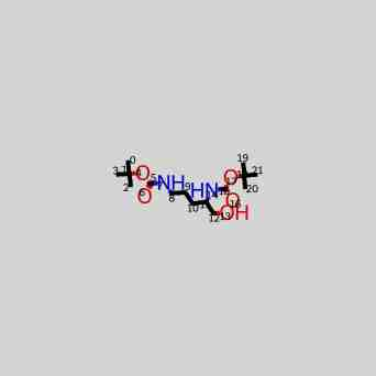 CC(C)(C)OC(=O)NCCCC(CO)NC(=O)OC(C)(C)C